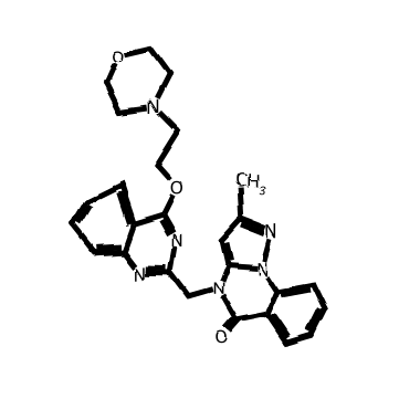 Cc1cc2n(Cc3nc(OCCN4CCOCC4)c4ccccc4n3)c(=O)c3ccccc3n2n1